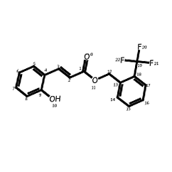 O=C(/C=C/c1ccccc1O)OCc1ccccc1C(F)(F)F